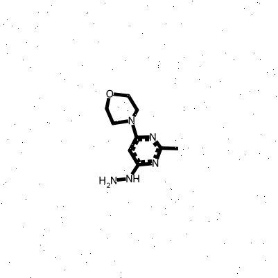 Cc1nc(NN)cc(N2CCOCC2)n1